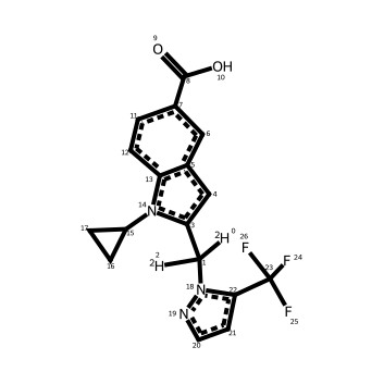 [2H]C([2H])(c1cc2cc(C(=O)O)ccc2n1C1CC1)n1nccc1C(F)(F)F